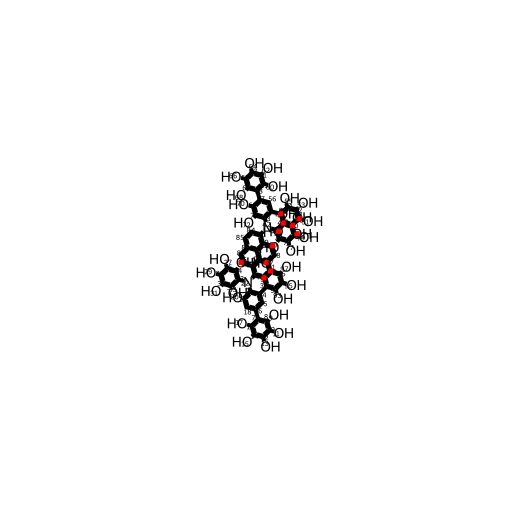 Oc1cc(-c2cc(-c3c(O)c(O)c(O)c(O)c3O)cc(O)c2N(c2c(O)c(O)c(O)c(O)c2O)c2ccc3ccc4c(N(c5c(-c6c(O)c(O)c(O)c(O)c6O)cc(-c6c(O)c(O)c(O)c(O)c6O)c(O)c5O)c5c(O)c(O)c(O)c(O)c5O)ccc5ccc2c3c54)c(O)c(O)c1O